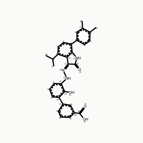 Cc1ccc(-c2ccc(C(C)C)c3c2NC(=O)C3=NNc2cccc(-c3cccc(C(=O)O)c3)c2O)cc1C